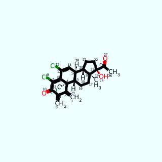 C=C1C(=C)[C@@]2(C)C(=C(Cl)C1=O)C(Cl)=C[C@@H]1[C@@H]2CC[C@@]2(C)[C@H]1CC[C@]2(O)C(C)=O